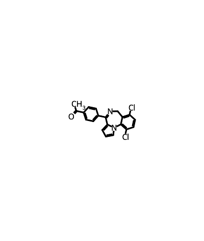 CC(=O)c1ccc(C2=NCc3c(Cl)ccc(Cl)c3-n3cccc32)cc1